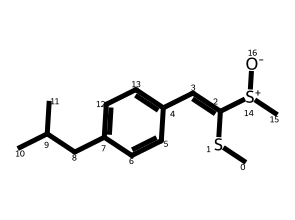 CS/C(=C\c1ccc(CC(C)C)cc1)[S+](C)[O-]